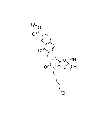 CCCCCCNC(=O)[C@H](Cn1cnc2ccc(C(=O)OC)cc2c1=O)NC(=O)OC(C)(C)C